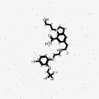 C[C@@H](Cc1cc2c(c(C(N)=O)c1)N(CCCO)CC2)NCCOc1ccc(F)cc1OCC(F)(F)F